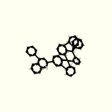 c1ccc(-c2cc(-c3ccc4c(c3)-c3ccccc3C43c4ccccc4C4(c5ccccc5)c5ccccc5-c5cccc3c54)nc3ccccc23)cc1